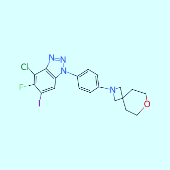 Fc1c(I)cc2c(nnn2-c2ccc(N3CC4(CCOCC4)C3)cc2)c1Cl